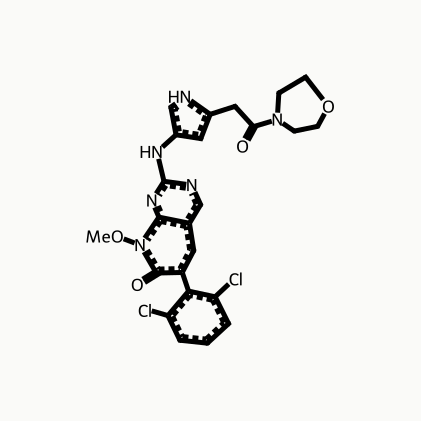 COn1c(=O)c(-c2c(Cl)cccc2Cl)cc2cnc(Nc3c[nH]c(CC(=O)N4CCOCC4)c3)nc21